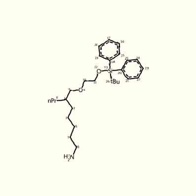 CCCC(CCCCCN)COCCO[Si](c1ccccc1)(c1ccccc1)C(C)(C)C